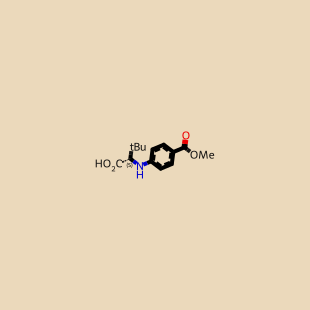 COC(=O)c1ccc(N[C@H](C(=O)O)C(C)(C)C)cc1